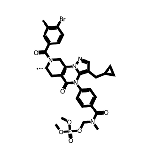 COP(=O)(OC)OCN(C)C(=O)c1ccc(-n2c(=O)c3c(n4ncc(CC5CC5)c24)CN(C(=O)c2ccc(Br)c(C)c2)[C@@H](C)C3)cc1